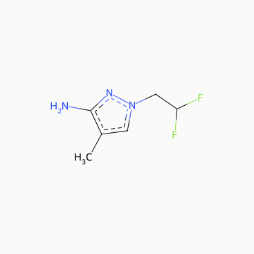 Cc1cn(CC(F)F)nc1N